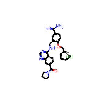 Cl.N=C(N)c1ccc(OCc2ccccc2)c(CNc2ncnc3cc(C(=O)N4CCCC4)ccc23)c1